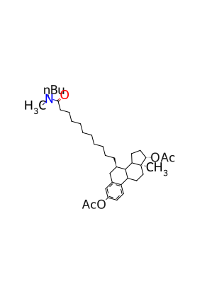 CCCCN(C)C(=O)CCCCCCCCCC[C@@H]1Cc2cc(OC(C)=O)ccc2C2CC[C@@]3(C)C(CC[C@@H]3OC(C)=O)C21